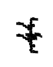 CCCCCCCCCCCCCC(=O)OC[C@H](COC(C(O)COC[C@@H](COC(=O)CCCCCCCCCCCCC)OC(=O)CCCCCCCCCCCCC)P(=O)(O)O)OC(=O)CCCCCCCCCCCCC.N.N